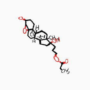 CCC(=O)OCCCC1(O)CC[C@H]2[C@@H]3CCC45OC4C(=O)CC[C@]5(C)[C@@H]3CC[C@@]21C